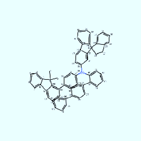 CC1(C)c2ccccc2-c2cccc(-c3ccc(N(c4ccc5c(c4)C4(CCc6ccccc64)c4ccccc4-5)c4ccccc4-c4ccc(-c5ccccc5)cc4)cc3)c21